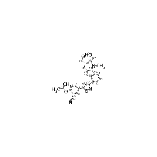 CC(C)Oc1ccc(-c2nc(-c3cccc4c3CC(CCC=O)C4N(C)CCO)no2)cc1C#N